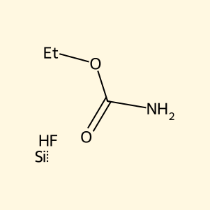 CCOC(N)=O.F.[Si]